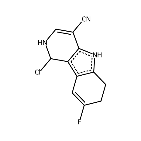 N#CC1=CNC(Cl)c2c1[nH]c1c2C=C(F)CC1